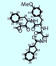 COc1ccc(CC(NC(=O)C(C)NC(=O)C2=Cc3ccccc3C2)C(=O)NC(Cc2ccccc2)C(=O)C2(C)CO2)cc1